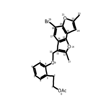 CC(=O)OCCc1ccccc1OCc1c(C)oc2c1cc(Br)c1oc(C)cc12